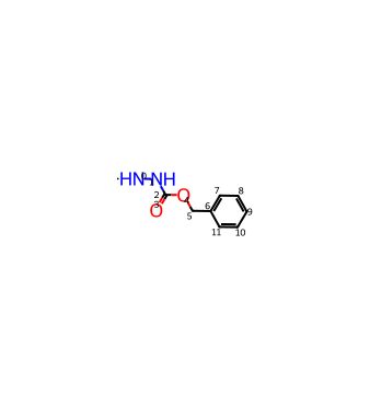 [NH]NC(=O)OCc1ccccc1